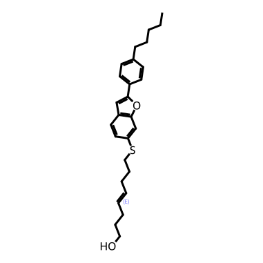 CCCCCc1ccc(-c2cc3ccc(SCCC/C=C/CCCO)cc3o2)cc1